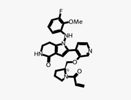 C=CC(=O)N1CCC[C@H]1COc1cnccc1-c1cc2c(n1Nc1cccc(F)c1OC)CCNC2=O